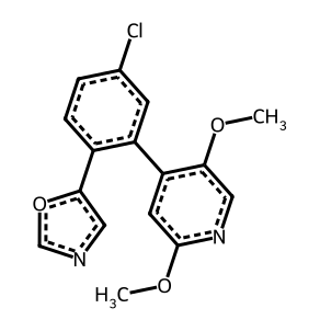 COc1cc(-c2cc(Cl)ccc2-c2cnco2)c(OC)cn1